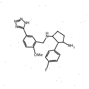 COc1ccc(-c2nnn[nH]2)cc1CNC1CCC(N)C1c1ccc(F)cc1